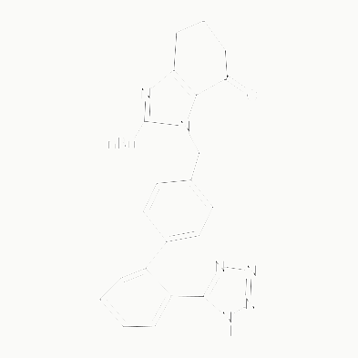 CCCCc1nc2c(n1Cc1ccc(-c3ccccc3-c3nnn[nH]3)cc1)C(=O)CCC2